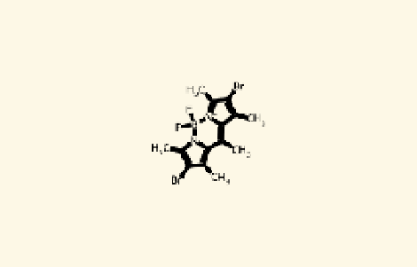 CC1=C(Br)C(C)=[N+]2C1=C(C)c1c(C)c(Br)c(C)n1[B-]2(F)F